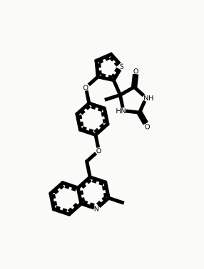 Cc1cc(COc2ccc(Oc3ccsc3C3(C)NC(=O)NC3=O)cc2)c2ccccc2n1